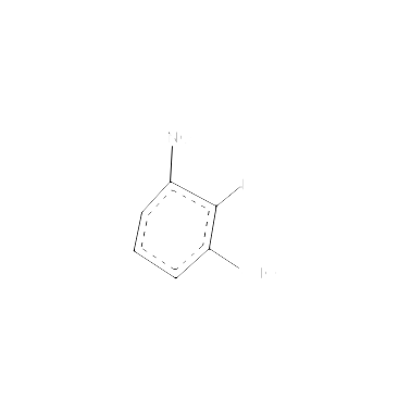 O=Cc1cccc(N=O)c1I